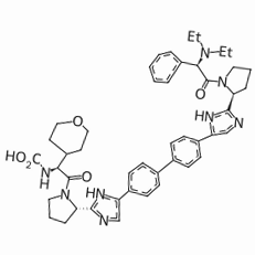 CCN(CC)[C@@H](C(=O)N1CCC[C@H]1c1ncc(-c2ccc(-c3ccc(-c4cnc([C@@H]5CCCN5C(=O)[C@@H](NC(=O)O)C5CCOCC5)[nH]4)cc3)cc2)[nH]1)c1ccccc1